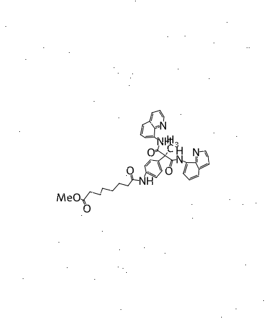 COC(=O)CCCCCCC(=O)Nc1ccc(C(C)(C(=O)Nc2cccc3cccnc23)C(=O)Nc2cccc3cccnc23)cc1